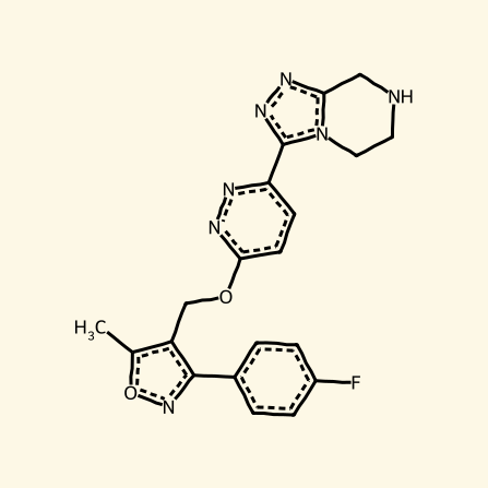 Cc1onc(-c2ccc(F)cc2)c1COc1ccc(-c2nnc3n2CCNC3)nn1